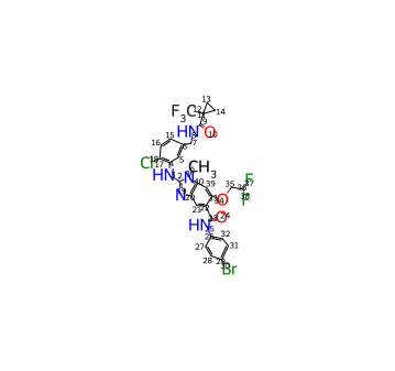 Cn1c(Nc2cc(CNC(=O)C3(C(F)(F)F)CC3)ccc2Cl)nc2cc(C(=O)Nc3ccc(Br)cc3)c(OCC(F)F)cc21